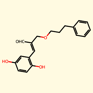 O=C/C(=C\c1cc(O)ccc1O)COCCCc1ccccc1